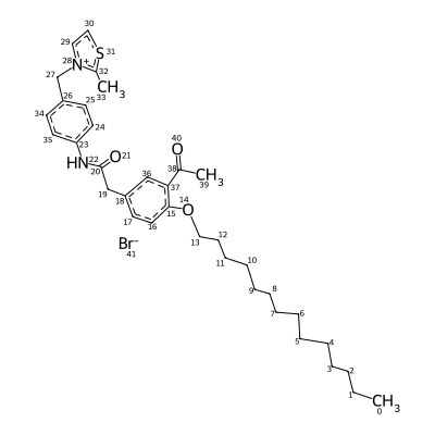 CCCCCCCCCCCCCCOc1ccc(CC(=O)Nc2ccc(C[n+]3ccsc3C)cc2)cc1C(C)=O.[Br-]